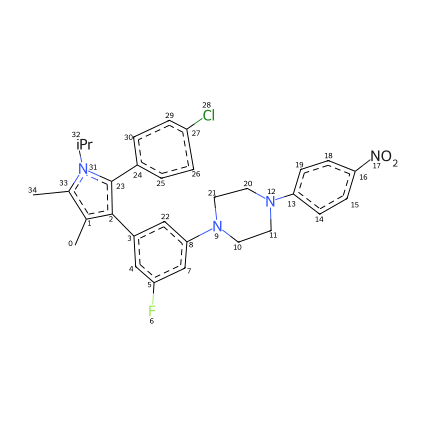 Cc1c(-c2cc(F)cc(N3CCN(c4ccc([N+](=O)[O-])cc4)CC3)c2)c(-c2ccc(Cl)cc2)n(C(C)C)c1C